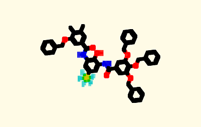 Cc1cc(C(=O)Nc2cc(S(F)(F)(F)(F)F)cc(NC(=O)c3cc(OCc4ccccc4)c(OCc4ccccc4)c(OCc4ccccc4)c3)c2O)cc(OCc2ccccc2)c1C